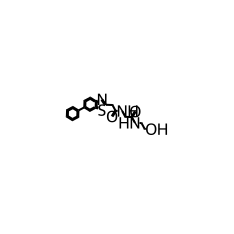 O=C(CNC(=O)Cc1nc2ccc(-c3ccccc3)cc2s1)NCCO